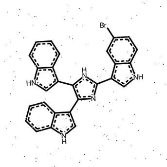 Brc1ccc2[nH]cc(-c3nc(-c4c[nH]c5ccccc45)c(-c4c[nH]c5ccccc45)[nH]3)c2c1